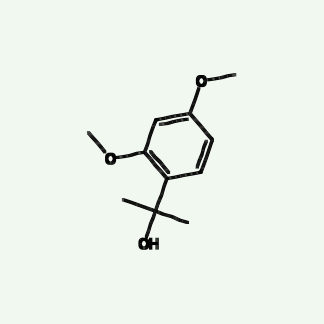 COc1ccc(C(C)(C)O)c(OC)c1